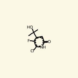 CC(C)(O)c1cc(=O)[nH]c(Cl)c1F